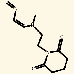 C=N/C=C\N(C)CCN1C(=O)CCCC1=O